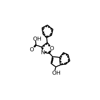 O=C(O)c1nc(C2=CC(O)c3ccccc32)oc1-c1ccccc1